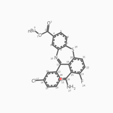 CCCCOC(=O)c1ccc2c(c1)N=C(c1cccc(Cl)c1)c1c(ccc(F)c1C(N)=O)S2